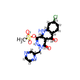 CS(=O)(=O)Oc1nn(Cc2cnccn2)c(=O)c2c(=O)c3ccc(Cl)cc3[nH]c12